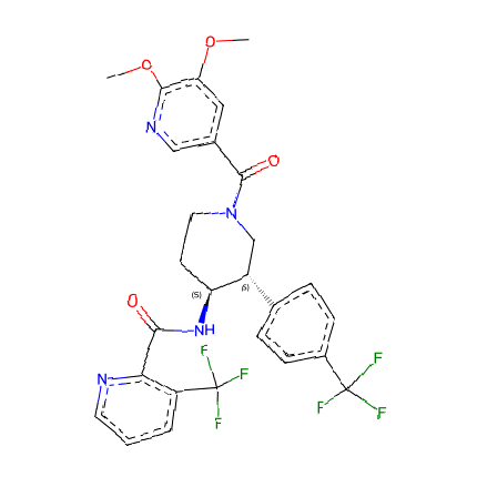 COc1cc(C(=O)N2CC[C@H](NC(=O)c3ncccc3C(F)(F)F)[C@@H](c3ccc(C(F)(F)F)cc3)C2)cnc1OC